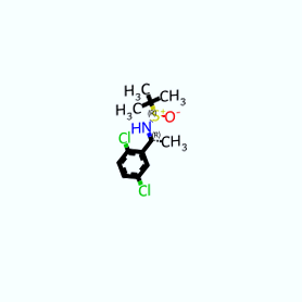 C[C@@H](N[S@@+]([O-])C(C)(C)C)c1cc(Cl)ccc1Cl